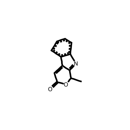 CC1OC(=O)C=C2C1=Nc1ccccc12